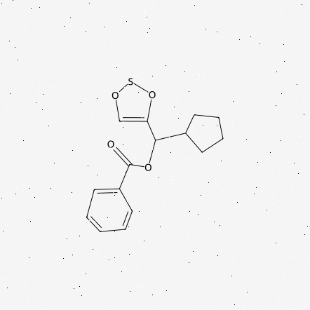 O=C(OC(C1=COSO1)C1CCCC1)c1ccccc1